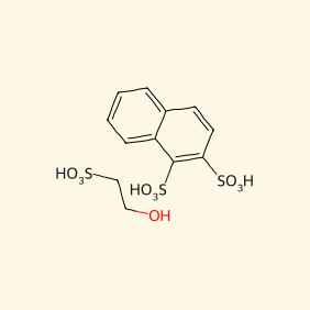 O=S(=O)(O)CCO.O=S(=O)(O)c1ccc2ccccc2c1S(=O)(=O)O